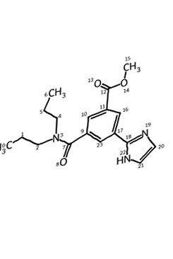 CCCN(CCC)C(=O)c1cc(C(=O)OC)cc(-c2ncc[nH]2)c1